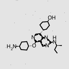 CC[C@H](C)Nc1ncc2c(O[C@H]3CC[C@H](N)CC3)ncc([C@H]3CC[C@H](O)CC3)c2n1